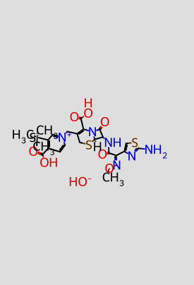 CO/N=C(\C(=O)N[C@@H]1C(=O)N2C(C(=O)O)=C(C[n+]3ccc(C(=O)O)c([Si](C)(C)C)c3)CS[C@H]12)c1csc(N)n1.[OH-]